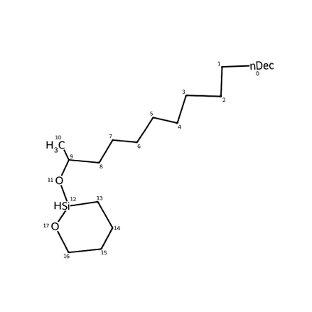 CCCCCCCCCCCCCCCCCCC(C)O[SiH]1CCCCO1